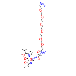 CCC(C)C(C(CC(=O)N1CCCC1C(OC)C(C)C)OC)N(C)C(=O)CNC(=O)C(C)(C)NC(=O)CCOCCOCCOCCOCCOCCOCCN